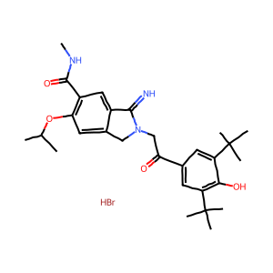 Br.CNC(=O)c1cc2c(cc1OC(C)C)CN(CC(=O)c1cc(C(C)(C)C)c(O)c(C(C)(C)C)c1)C2=N